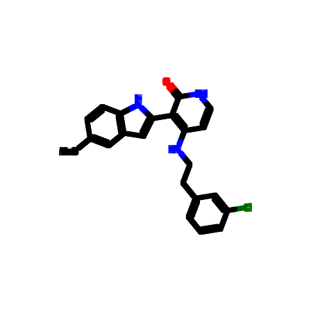 COc1ccc2[nH]c(-c3c(NCCc4cccc(Cl)c4)cc[nH]c3=O)cc2c1